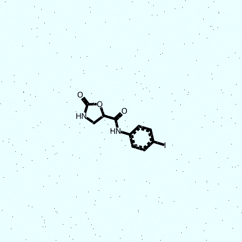 O=C1NCC(C(=O)Nc2ccc(I)cc2)O1